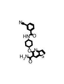 N#Cc1cccc(C(=O)N[C@H]2CC[C@H](Oc3nc4ccsc4cc3C(N)=O)CC2)c1